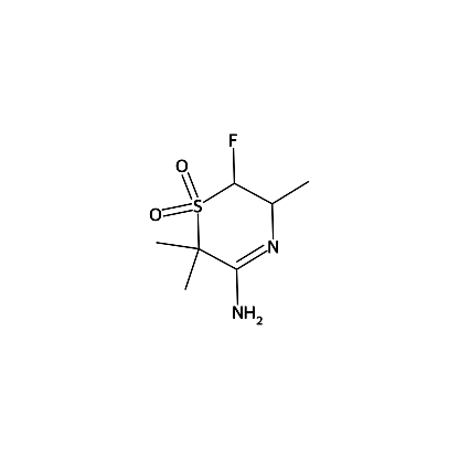 CC1N=C(N)C(C)(C)S(=O)(=O)C1F